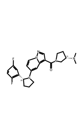 CN(C)[C@H]1CCN(C(=O)c2cnn3ccc(N4CCC[C@@H]4c4cc(F)ccc4F)cc23)C1